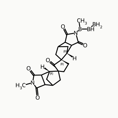 BBB(C)N1C(=O)C2C3C[C@H](C2C1=O)[C@@]1(CCC2(CC4C[C@@H]2C2C(=O)N(C)C(=O)C42)C1=O)C3